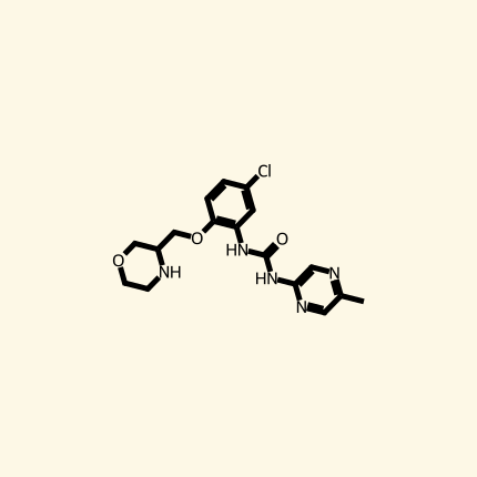 Cc1cnc(NC(=O)Nc2cc(Cl)ccc2OCC2COCCN2)cn1